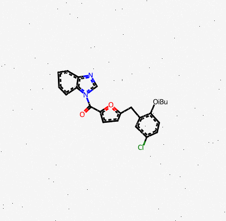 CC(C)COc1ccc(Cl)cc1Cc1ccc(C(=O)n2cnc3ccccc32)o1